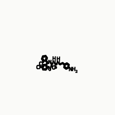 CN1C(=O)C(NC(=S)NCCc2ccc(N)cc2)N=C(c2ccccc2Cl)c2cc(Cl)ccc21